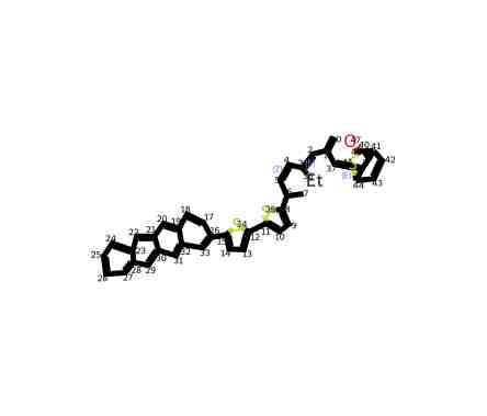 C=C(/C=C(/C=C\C(C)c1ccc(-c2ccc(-c3ccc4cc5cc6ccccc6cc5cc4c3)s2)s1)CC)/C=C1\C(=C)C2C=CC1SC2=O